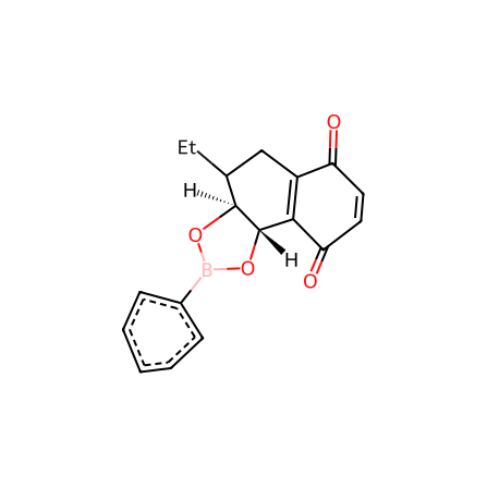 CCC1CC2=C(C(=O)C=CC2=O)[C@@H]2OB(c3ccccc3)O[C@@H]12